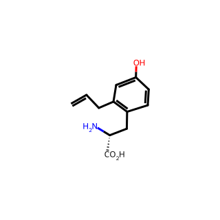 C=CCc1cc(O)ccc1C[C@@H](N)C(=O)O